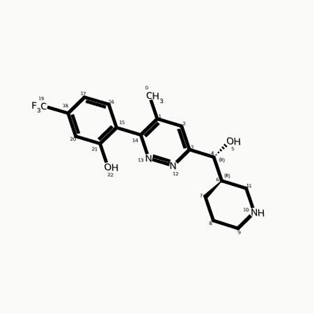 Cc1cc([C@H](O)[C@@H]2CCCNC2)nnc1-c1ccc(C(F)(F)F)cc1O